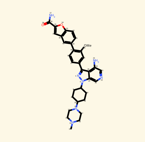 COc1cc(-c2nn(C3CCC(N4CCN(C)CC4)CC3)c3cncc(N)c23)ccc1-c1ccc2oc(C(N)=O)cc2c1